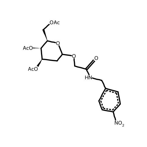 CC(=O)OC[C@H]1OC(OCC(=O)NCc2ccc([N+](=O)[O-])cc2)C[C@@H](OC(C)=O)[C@@H]1OC(C)=O